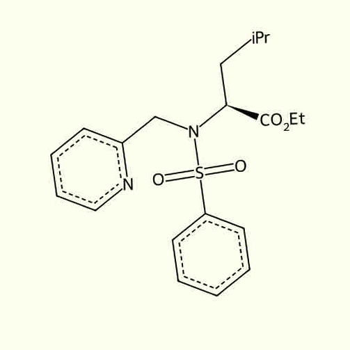 CCOC(=O)[C@H](CC(C)C)N(Cc1ccccn1)S(=O)(=O)c1ccccc1